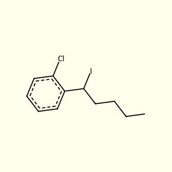 CCCCC(I)c1ccccc1Cl